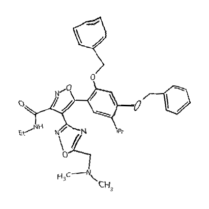 CCNC(=O)c1noc(-c2cc(C(C)C)c(OCc3ccccc3)cc2OCc2ccccc2)c1-c1noc(CN(C)C)n1